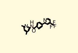 Cc1cc(C)nc(NC(=O)c2ccc(-c3cc(C(F)(F)F)ccn3)cc2)c1